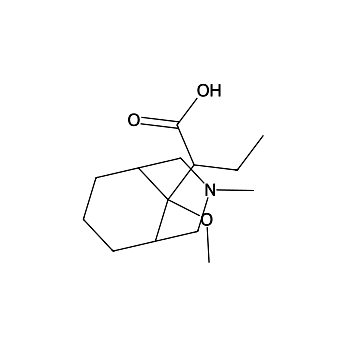 CCC(C(=O)O)C1(OC)C2CCCC1CN(C)C2